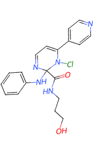 O=C(NCCCO)C1(Nc2ccccc2)N=CC=C(c2ccncc2)N1Cl